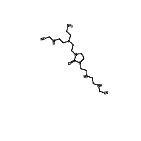 N#CCNCCNCCN1CCN(CCN(CCN)CCNCC#N)C1=O